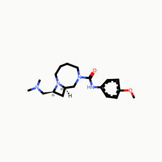 COc1ccc(NC(=O)N2CCCCN3[C@H](C[C@H]3CN(C)C)C2)cc1